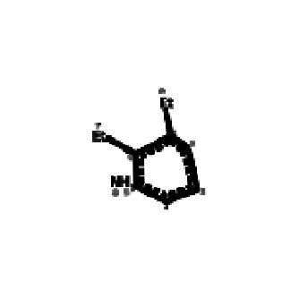 CCc1ccccc1CC.N